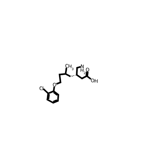 CC(CCOc1ccccc1Cl)C[C@H](CN)CC(=O)O